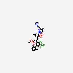 CCOC(=O)C[C@H](CCC(=O)[C@H](CC(C)C)n1nc(CCN2CCC2)c(C)cc1=O)c1cc(-c2c(C)cccc2C)cc(C(F)(F)F)c1F